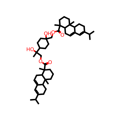 CC(C)C1=CC2=CCC3C(C)(C(=O)OCC4(O)CCC(C(C)(O)COC(=O)C5(C)CCCC6(C)C7CCC(C(C)C)=CC7=CCC56)CC4)CCCC3(C)C2CC1